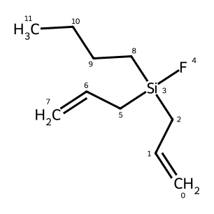 C=CC[Si](F)(CC=C)CCCC